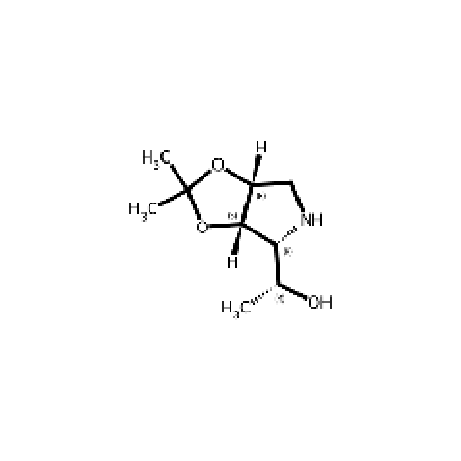 C[C@@H](O)[C@H]1NC[C@H]2OC(C)(C)O[C@@H]12